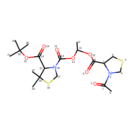 CC(=O)N1CSCC1C(=O)OC(C)OC(=O)N1CSC(C)(C)C1C(=O)OC(C)(C)C